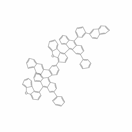 c1ccc(-c2ccc3c(-c4ccc(-c5ccc(-c6c7ccccc7c(-c7cccc(-c8ccc9ccccc9c8)c7)c7ccc(-c8ccccc8)cc67)c6c5oc5ccccc56)cc4-c4ccc5ccccc5c4)c4ccccc4c(-c4cccc5oc6ccccc6c45)c3c2)cc1